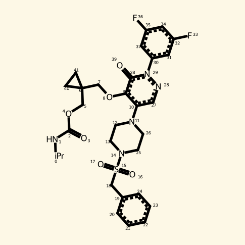 CC(C)NC(=O)OCC1(COc2c(N3CCN(S(=O)(=O)Cc4ccccc4)CC3)cnn(-c3cc(F)cc(F)c3)c2=O)CC1